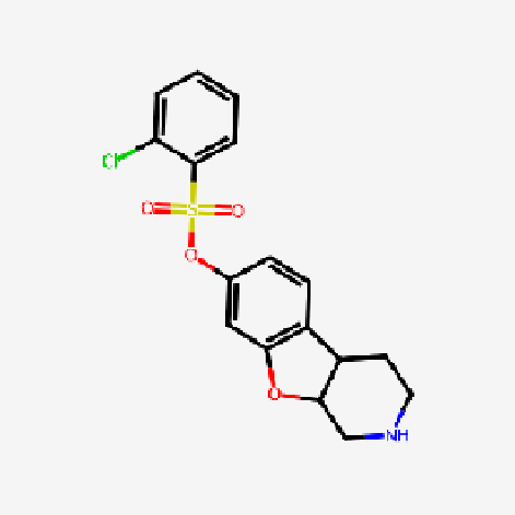 O=S(=O)(Oc1ccc2c(c1)OC1CNCCC21)c1ccccc1Cl